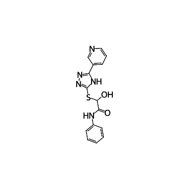 O=C(Nc1ccccc1)C(O)Sc1nnc(-c2cccnc2)[nH]1